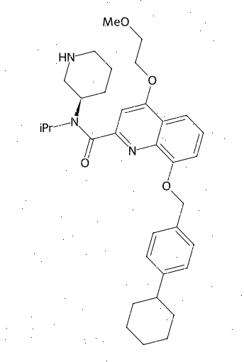 COCCOc1cc(C(=O)N(C(C)C)[C@@H]2CCCNC2)nc2c(OCc3ccc(C4CCCCC4)cc3)cccc12